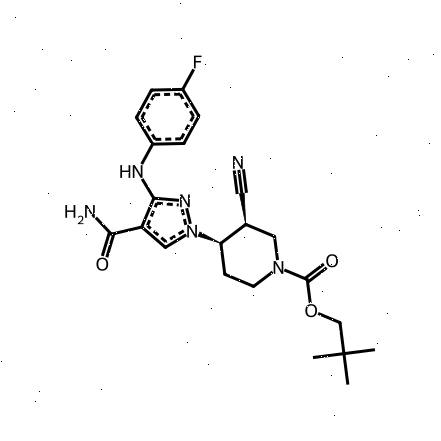 CC(C)(C)COC(=O)N1CC[C@@H](n2cc(C(N)=O)c(Nc3ccc(F)cc3)n2)[C@@H](C#N)C1